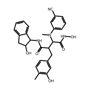 Cc1ccc(CC(C(=O)NC2c3ccccc3CC2O)C(C(=O)NO)N(C)c2cccc(C#N)c2)cc1O